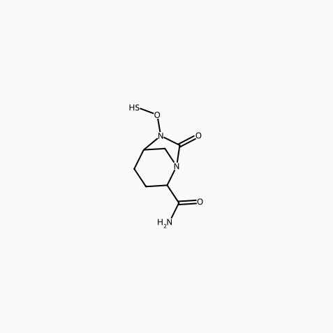 NC(=O)C1CCC2CN1C(=O)N2OS